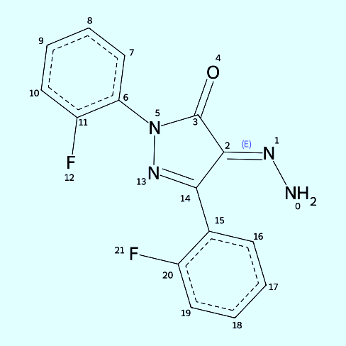 N/N=C1/C(=O)N(c2ccccc2F)N=C1c1ccccc1F